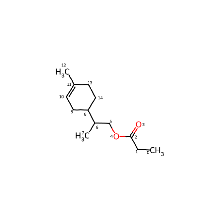 CCC(=O)OCC(C)C1CC=C(C)CC1